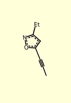 CC#Cc1cc(CC)no1